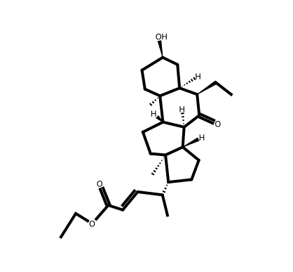 CCOC(=O)C=CC(C)[C@H]1CC[C@H]2[C@@H]3C(=O)[C@H](CC)[C@@H]4C[C@H](O)CC[C@]4(C)[C@H]3CC[C@]12C